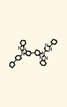 c1ccc(-c2ccc(-n3c4ccc(-c5ccc6c(c5)n5c7ccccc7nc5n6-c5cnc(-c6ccccc6)nc5)cc4n4c5ccccc5nc34)cc2)cc1